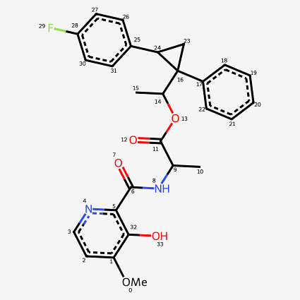 COc1ccnc(C(=O)NC(C)C(=O)OC(C)C2(c3ccccc3)CC2c2ccc(F)cc2)c1O